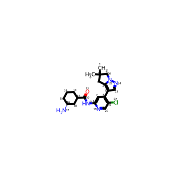 CC1(C)Cc2c(-c3cc(NC(=O)C4CCC[C@@H](N)C4)ncc3Cl)cnn2C1